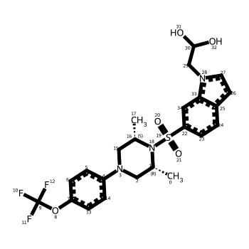 C[C@@H]1CN(c2ccc(OC(F)(F)F)cc2)C[C@H](C)N1S(=O)(=O)c1ccc2ccn(CC(O)O)c2c1